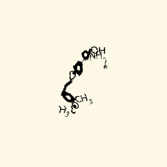 COc1ccc(CCOc2ccc([C@@H]3CC[C@@](N)(CO)C3)cc2)cc1C